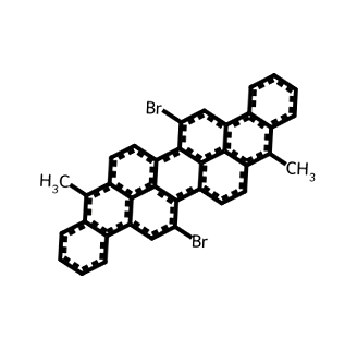 Cc1c2ccccc2c2cc(Br)c3c4ccc5c(C)c6ccccc6c6cc(Br)c(c7ccc1c2c73)c4c56